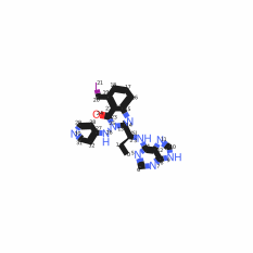 CC[C@H](Nc1ncnc2[nH]cnc12)c1nc2cccc(CI)c2c(=O)n1Nc1ccncc1